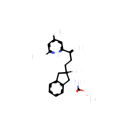 C=C(CCC1(CCC)Cc2ccccc2[C@H]1NC(=O)OC(C)(C)C)c1cc(C)cc(C)n1